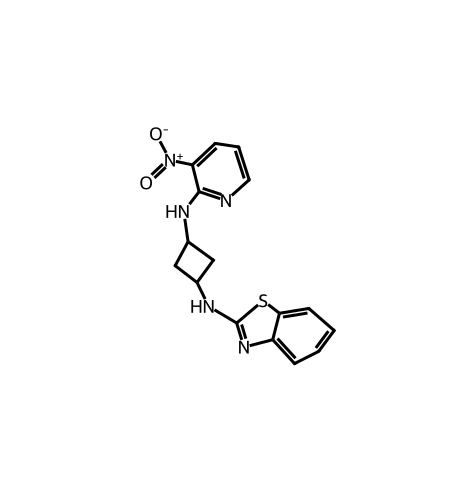 O=[N+]([O-])c1cccnc1NC1CC(Nc2nc3ccccc3s2)C1